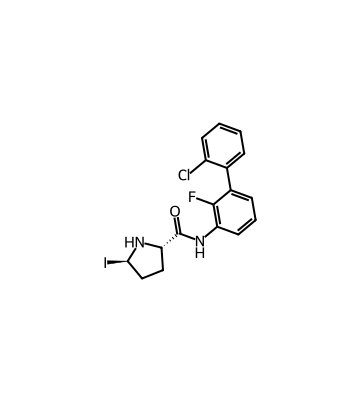 O=C(Nc1cccc(-c2ccccc2Cl)c1F)[C@@H]1CC[C@@H](I)N1